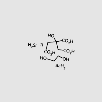 O=C(O)CC(O)(CC(=O)O)C(=O)O.OCCO.[BaH2].[SrH2].[Ti]